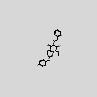 CCOC(=O)C(OCc1ccccc1)C(=O)c1ccc(Oc2ccc(F)cc2)cn1